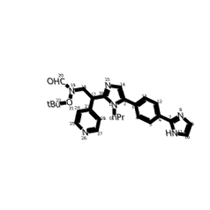 CCCn1c(-c2ccc(-c3ncc[nH]3)cc2)cnc1C(CN(C=O)OC(C)(C)C)c1ccncc1